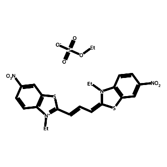 CCN1C(=CC=Cc2sc3cc([N+](=O)[O-])ccc3[n+]2CC)Sc2cc([N+](=O)[O-])ccc21.CCOS(=O)(=O)[O-]